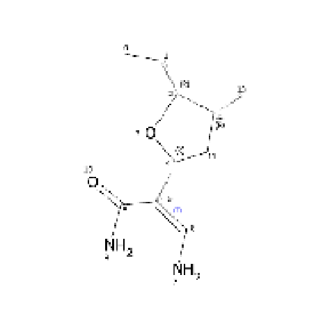 CC[C@H]1O[C@@H](/C(=C/N)C(N)=O)C[C@H]1C